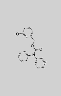 [O]c1cccc(COC(=O)N(c2ccccc2)c2ccccc2)c1